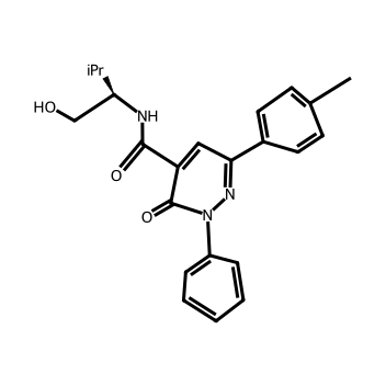 Cc1ccc(-c2cc(C(=O)N[C@@H](CO)C(C)C)c(=O)n(-c3ccccc3)n2)cc1